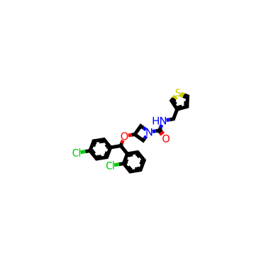 O=C(NCc1ccsc1)N1CC(OC(c2ccc(Cl)cc2)c2ccccc2Cl)C1